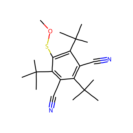 COSc1c(C(C)(C)C)c(C#N)c(C(C)(C)C)c(C#N)c1C(C)(C)C